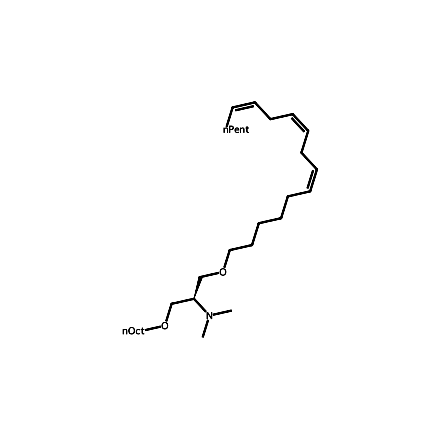 CCCCC/C=C\C/C=C\C/C=C\CCCCCOC[C@H](COCCCCCCCC)N(C)C